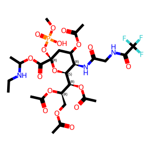 CCNC(C)OC(=O)[C@]1(OP(=O)(O)OC)CC(OC(C)=O)[C@@H](NC(=O)CNC(=O)C(F)(F)F)[C@@H]([C@@H](OC(C)=O)[C@@H](COC(C)=O)OC(C)=O)O1